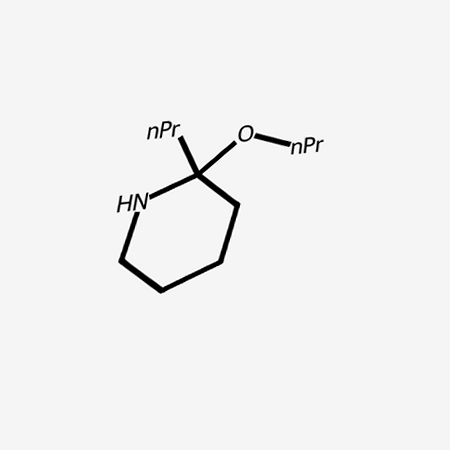 CCCOC1(CCC)CCCCN1